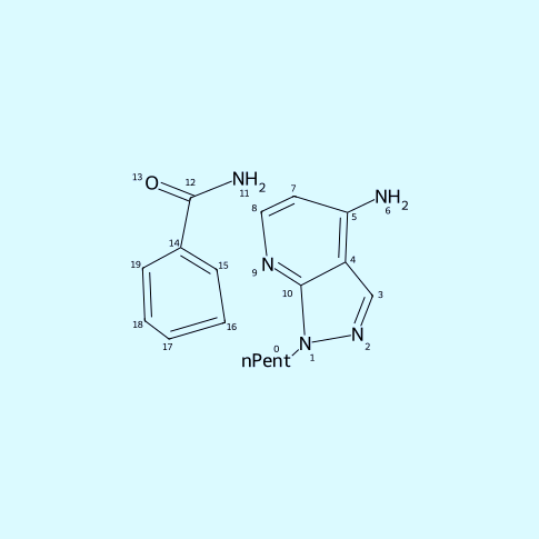 CCCCCn1ncc2c(N)ccnc21.NC(=O)c1ccccc1